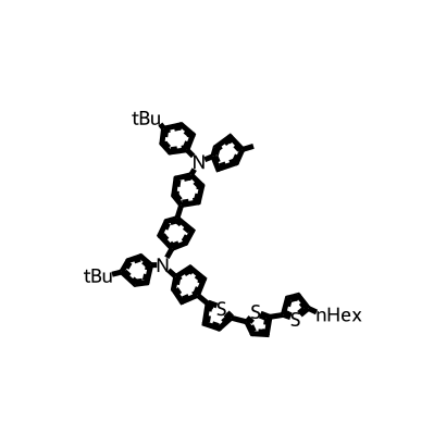 CCCCCCc1ccc(-c2ccc(-c3ccc(-c4ccc(N(c5ccc(-c6ccc(N(c7ccc(C)cc7)c7ccc(C(C)(C)C)cc7)cc6)cc5)c5ccc(C(C)(C)C)cc5)cc4)s3)s2)s1